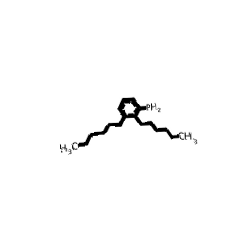 CCCCCCc1cccc(P)c1CCCCCC